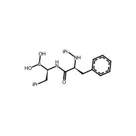 CC(C)C[C@H](NC(=O)[C@H](Cc1ccccc1)NC(C)C)B(O)O